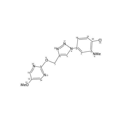 CNc1cc(-n2cc(COc3ncc(OC)cn3)nn2)ccc1Cl